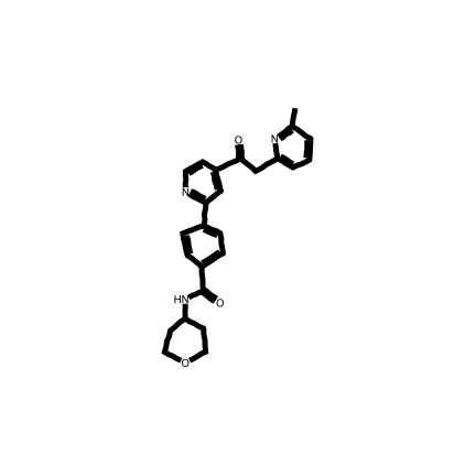 Cc1cccc(CC(=O)c2ccnc(-c3ccc(C(=O)NC4CCOCC4)cc3)c2)n1